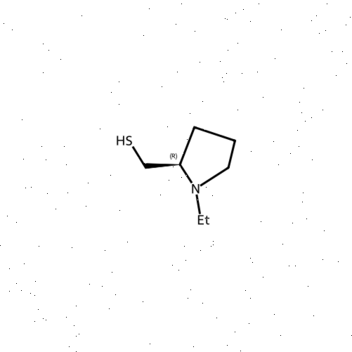 CCN1CCC[C@@H]1CS